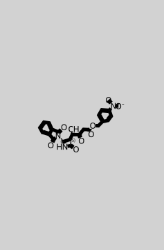 C[C@H](C(=O)CC(=O)OCc1ccc([N+](=O)[O-])cc1)[C@@H]1C(=O)N[C@@H]1N1C(=O)c2ccccc2C1=O